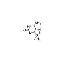 CN1C=NC2C1=NC(=O)NC2N